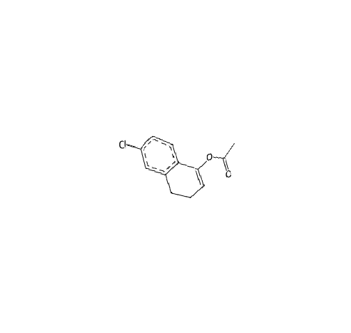 CC(=O)OC1=CCCc2cc(Cl)ccc21